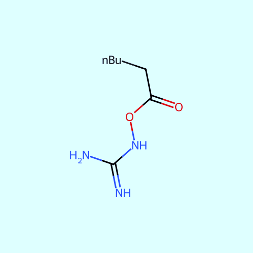 CCCCCC(=O)ONC(=N)N